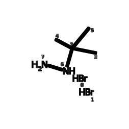 Br.Br.CC(C)(C)NN